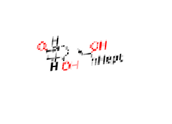 CCCCCCCC(O)C=CC1C[C@@H]2C(=O)C[C@H]2C1O